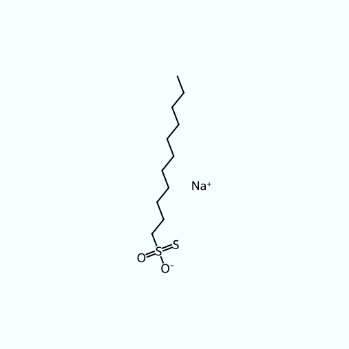 CCCCCCCCCCCS(=O)([O-])=S.[Na+]